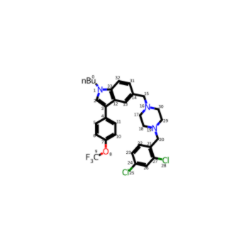 CCCCn1cc(-c2ccc(OC(F)(F)F)cc2)c2cc(CN3CCN(Cc4ccc(Cl)cc4Cl)CC3)ccc21